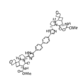 COC(=O)N[C@@H]1C(=O)N2[C@H](CC[C@H]2c2ncc(-c3ccc(-c4ccc(-c5cnc([C@@H]6CC[C@@H]7C8C(CC89COC9)[C@H](NC(=O)OC)C(=O)N76)[nH]5)cc4)cc3)[nH]2)C2C1CC21COC1